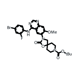 COc1cc2ncnc(Nc3ccc(Br)cc3F)c2cc1N1CC2(CCN(C(=O)OC(C)(C)C)CC2)OC1=O